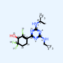 C[C@@H](Nc1nc(NCC(F)(F)F)nc(C2=C(F)C(O)C(F)(F)CC2)n1)C(F)(F)F